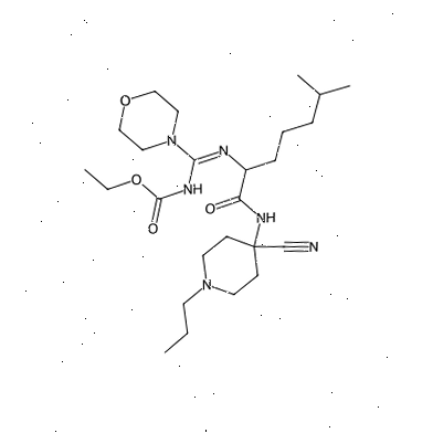 CCCN1CCC(C#N)(NC(=O)C(CCCC(C)C)/N=C(\NC(=O)OCC)N2CCOCC2)CC1